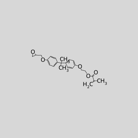 C=C(C)C(=O)OCCOc1ccc(C(C)(C)c2ccc(OCC3CO3)cc2)cc1